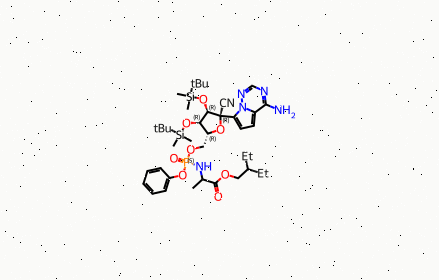 CCC(CC)COC(=O)C(C)N[P@](=O)(OC[C@H]1O[C@@](C#N)(c2ccc3c(N)ncnn23)[C@H](O[Si](C)(C)C(C)(C)C)[C@@H]1O[Si](C)(C)C(C)(C)C)Oc1ccccc1